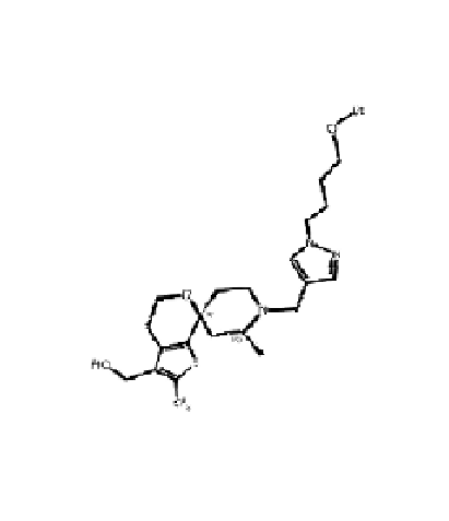 CCOCCCCn1cc(CN2CC[C@]3(C[C@@H]2C)OCCc2c3sc(C(F)(F)F)c2CO)cn1